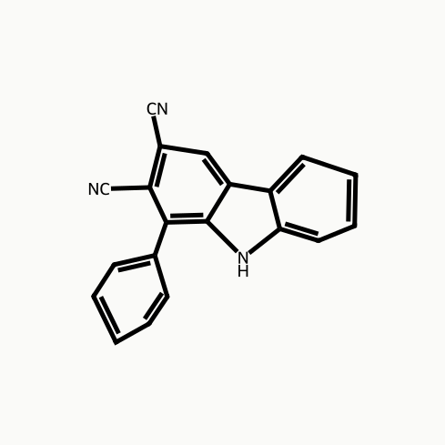 N#Cc1cc2c([nH]c3ccccc32)c(-c2ccccc2)c1C#N